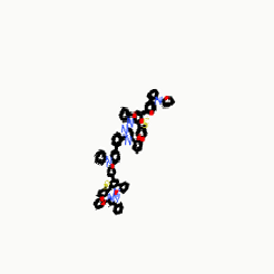 c1ccc(-c2cc(-n3c4ccccc4c4cc(-c5ccc6c(c5)c5ccccc5n6-c5ccccc5)c5sc6ccccc6c5c43)nc(-c3cccc(-c4ccc5c6cc(-c7cc8c9ccccc9n(-c9nc(-c%10ccccc%10)cc(-c%10ccccc%10)n9)c8c8c7sc7ccccc78)ccc6n(-c6ccccc6)c5c4)c3)n2)cc1